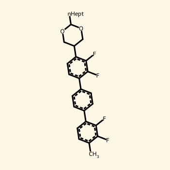 CCCCCCCC1OCC(c2ccc(-c3ccc(-c4ccc(C)c(F)c4F)cc3)c(F)c2F)CO1